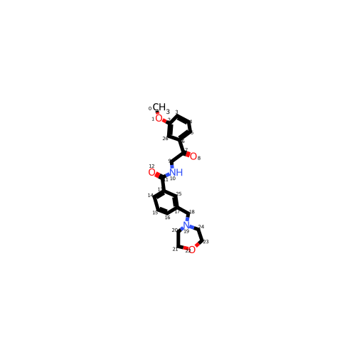 COc1cccc(C(=O)CNC(=O)c2cccc(CN3CCOCC3)c2)c1